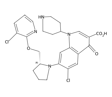 O=C(O)c1cn(C2CCNCC2)c2cc(N3CCC[C@@H]3COc3ncccc3Cl)c(Cl)cc2c1=O